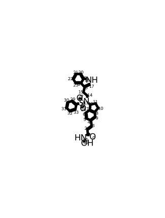 O=C(/C=C/c1ccc2c(c1)CCC2N(CCc1c[nH]c2ccccc12)S(=O)(=O)c1ccccc1)NO